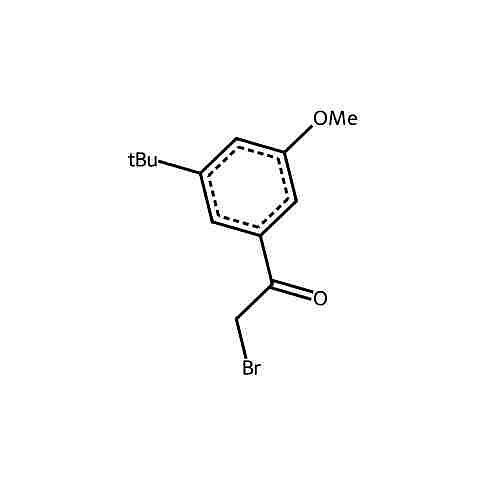 COc1cc(C(=O)CBr)cc(C(C)(C)C)c1